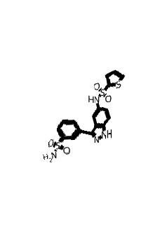 NS(=O)(=O)c1cccc(-c2n[nH]c3ccc(NS(=O)(=O)C4CC=CS4)cc23)c1